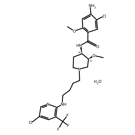 COc1cc(N)c(Cl)cc1C(=O)N[C@@H]1CCN(CCCCNc2ncc(Cl)cc2C(F)(F)F)C[C@@H]1OC.O